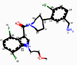 COCCn1cc(C(=O)N2CCC(c3cc(CN)ccc3F)CC2)c2c(F)ccc(F)c21